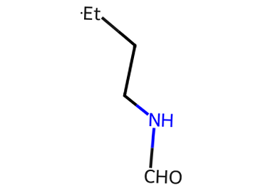 C[CH]CCNC=O